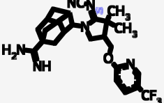 CC1(C)/C(=N/C#N)N(C2C3CC4CC2CC(C(=N)N)(C4)C3)CC1COc1ccc(C(F)(F)F)cn1